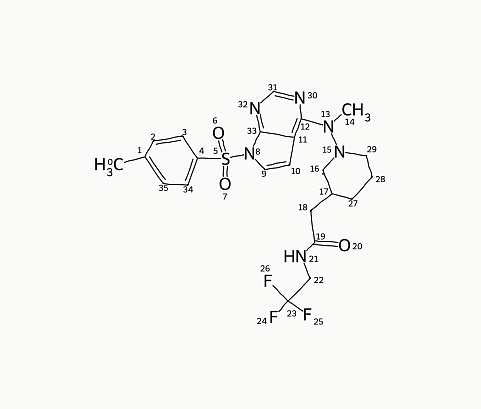 Cc1ccc(S(=O)(=O)n2ccc3c(N(C)N4[CH]C(CC(=O)NCC(F)(F)F)CCC4)ncnc32)cc1